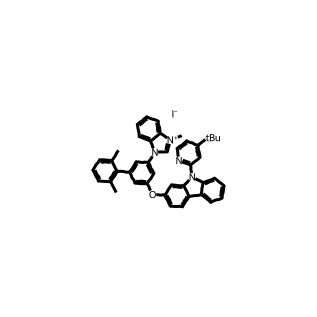 Cc1cccc(C)c1-c1cc(Oc2ccc3c4ccccc4n(-c4cc(C(C)(C)C)ccn4)c3c2)cc(-n2c[n+](C)c3ccccc32)c1.[I-]